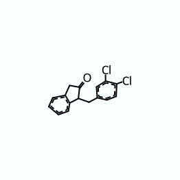 O=C1Cc2ccccc2C1Cc1ccc(Cl)c(Cl)c1